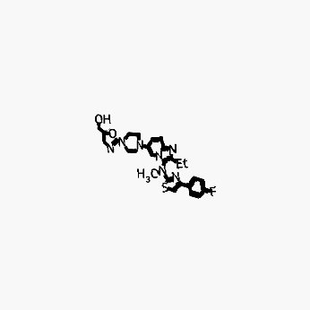 CCc1nc2ccc(N3CCN(C4=NCC(CO)O4)CC3)cn2c1N(C)c1nc(-c2ccc(F)cc2)cs1